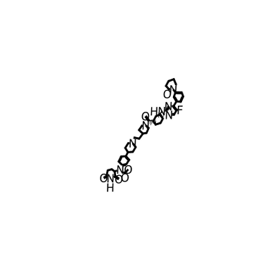 O=C1CCC(n2c(=O)oc3cc(C4CCN(CCC5CCN(C(=O)[C@@H]6CCC[C@H](Nc7ncc(F)c(-c8cccc(N9CCCCC9=O)c8)n7)C6)CC5)CC4)ccc32)C(=O)N1